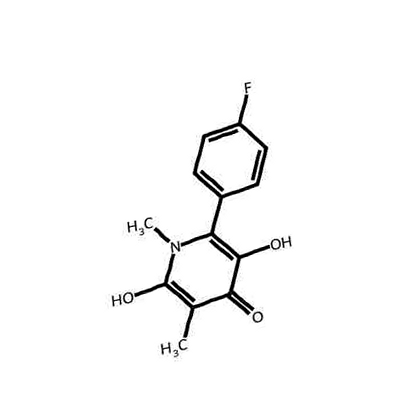 Cc1c(O)n(C)c(-c2ccc(F)cc2)c(O)c1=O